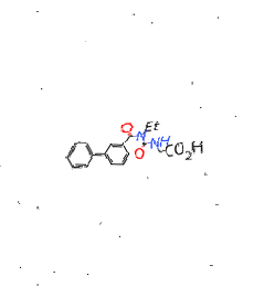 CCN(C(=O)NCC(=O)O)C(=O)c1cccc(-c2ccccc2)c1